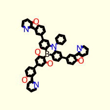 c1ccc(N2c3cc(-c4ccc5oc6cccnc6c5c4)cc4c3B3c5c(cc(-c6ccc7oc8cccnc8c7c6)cc5Oc5cc(-c6ccc7oc8cccnc8c7c6)cc2c53)O4)cc1